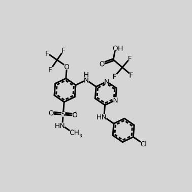 CNS(=O)(=O)c1ccc(OC(F)(F)F)c(Nc2cc(Nc3ccc(Cl)cc3)ncn2)c1.O=C(O)C(F)(F)F